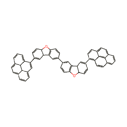 C1=CC2=CC=C3C=CC=C4C(C5=CC6c7cc(-c8ccc9c(c8)C8C=C(c%10ccc%11ccc%12cccc%13ccc%10c%11c%12%13)C=CC8O9)ccc7OC6C=C5)=CC(=C1)C2C34